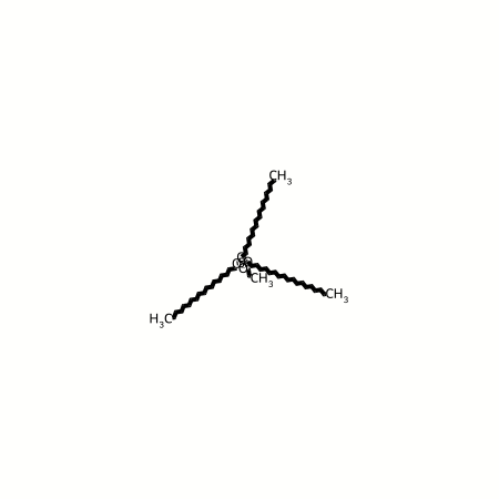 CCCCCCCCCCCCCCCCCCO[Si](OCCC)(OCCCCCCCCCCCCCCCCCC)OCCCCCCCCCCCCCCCCCC